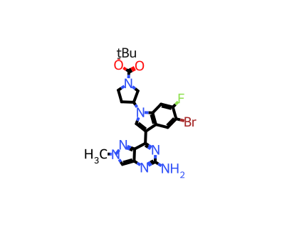 Cn1cc2nc(N)nc(-c3cn(C4CCN(C(=O)OC(C)(C)C)C4)c4cc(F)c(Br)cc34)c2n1